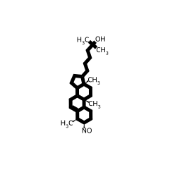 C[C@@H]1C2=CCC3C4CCC(CCCCC(C)(C)O)[C@@]4(C)CC[C@@]3(C)C2CC[C@@H]1N=O